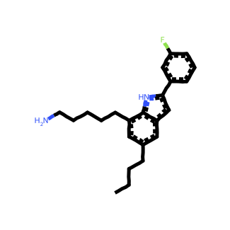 CCCCc1cc(CCCCCN)c2[nH]c(-c3cccc(F)c3)cc2c1